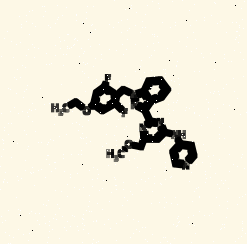 CCOc1cc(F)c(Cn2nc(-c3nc(COC)cc(Nc4ccncc4)n3)c3ccccc32)c(F)c1